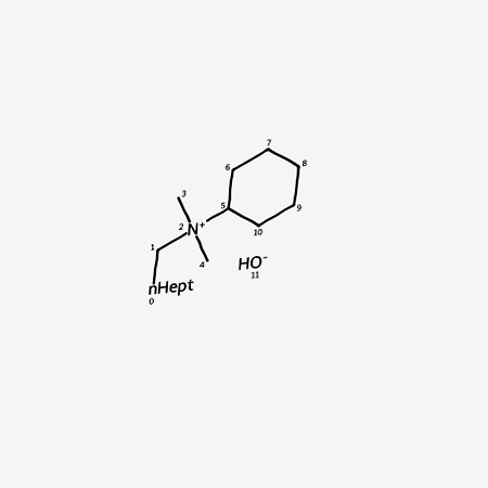 CCCCCCCC[N+](C)(C)C1CCCCC1.[OH-]